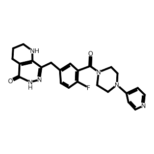 O=C(c1cc(Cc2n[nH]c(=O)c3c2NCCC3)ccc1F)N1CCN(c2ccncc2)CC1